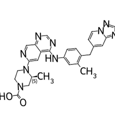 Cc1cc(Nc2ncnc3cnc(N4CCN(C(=O)O)C[C@@H]4C)cc23)ccc1Cc1ccn2ncnc2c1